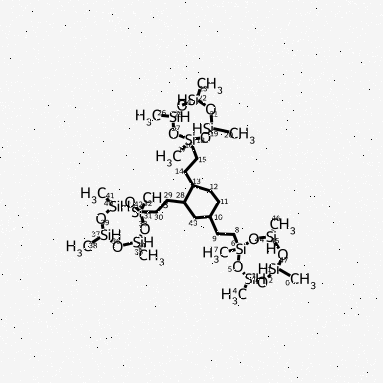 C[SiH]1O[SiH](C)O[Si](C)(CCC2CCC(CC[Si]3(C)O[SiH](C)O[SiH](C)O[SiH](C)O3)C(CC[Si]3(C)O[SiH](C)O[SiH](C)O[SiH](C)O3)C2)O[SiH](C)O1